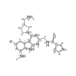 CNc1cc(F)cc2c1[nH]c1nc(CNC(=O)c3cnco3)nc(N3CCC(CN)C3)c12